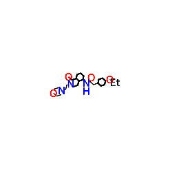 CCOc1ccc(CC(=O)Nc2cccc3c(=O)n(CCN4CCOCC4)ccc23)cc1